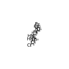 COc1ccc(Cl)cc1NC(=S)NC1CCN(c2cccc(C(F)(F)F)n2)CC1